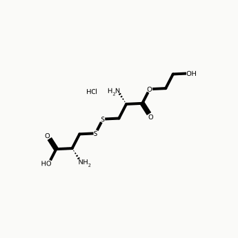 Cl.N[C@@H](CSSC[C@H](N)C(=O)OCCO)C(=O)O